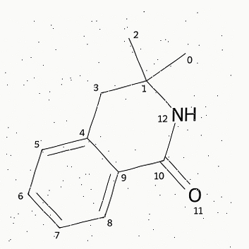 CC1(C)Cc2ccccc2C(=O)N1